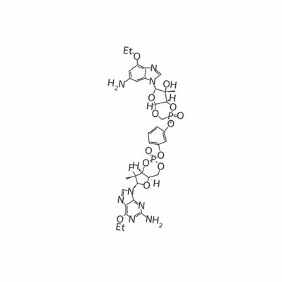 CCOc1cc(N)cc2c1ncn2[C@@H]1O[C@@H]2OCP(=O)(Oc3cccc(OP4(=O)OC[C@H]5O[C@@H](n6cnc7c(OCC)nc(N)nc76)[C@](C)(F)[C@@H]5O4)c3)O[C@H]2[C@@]1(C)O